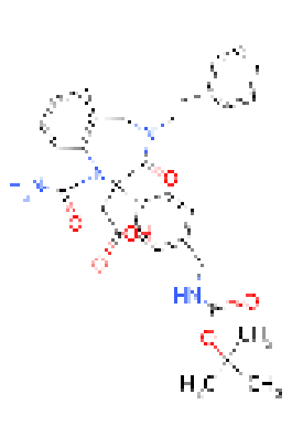 CC(C)(C)OC(=O)NCc1ccc(C2(CC(=O)O)C(=O)N(CCc3ccccc3)Cc3ccccc3N2C(N)=O)cc1